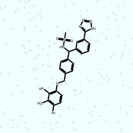 CCCc1c(OCc2ccc(C(NS(C)(=O)=O)c3cccc(-c4nnn[nH]4)c3)cc2)ccc(C(C)=O)c1O